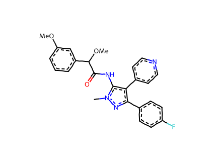 COc1cccc(C(OC)C(=O)Nc2c(-c3ccncc3)c(-c3ccc(F)cc3)nn2C)c1